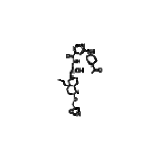 CCCC12CCC(OCc3cnco3)=NC1CCN(C[C@@H](O)CNC(=O)c1cc(NC3CCN(C(C)=O)CC3)ncn1)C2